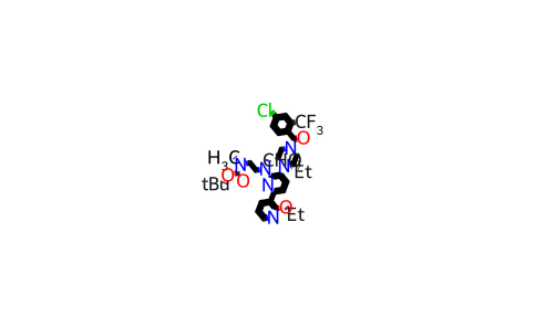 CCOc1ncccc1-c1ccc(N2CCN(C(=O)c3ccc(Cl)cc3C(F)(F)F)C[C@H]2CC)c(N(C=O)CCN(C)C(=O)OC(C)(C)C)n1